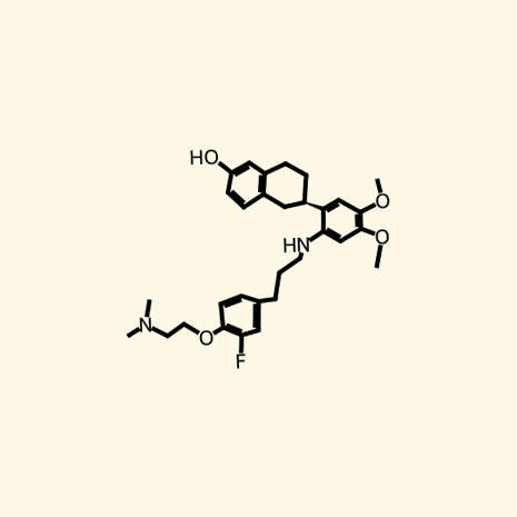 COc1cc(NCCCc2ccc(OCCN(C)C)c(F)c2)c([C@@H]2CCc3cc(O)ccc3C2)cc1OC